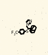 FC(F)(F)c1ccc(SC(Cn2ccnc2)C23CC4CC(CC(C4)C2)C3)cc1